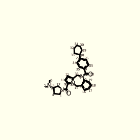 CN(C)[C@@H]1CCN(C(=O)c2ccc3n2Cc2ccccc2N(C(=O)c2ccc(C4CCCCC4)cc2)C3)C1